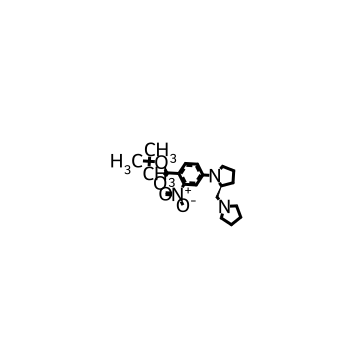 CC(C)(C)OC(=O)c1ccc(N2CCC[C@H]2CN2CCCC2)cc1[N+](=O)[O-]